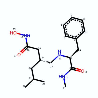 CNC(=O)[C@H](Cc1ccccc1)NC[C@@H](CC(=O)NO)CC(C)C